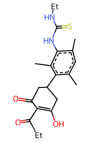 CCNC(=S)Nc1c(C)cc(C)c(C2CC(=O)C(C(=O)CC)=C(O)C2)c1C